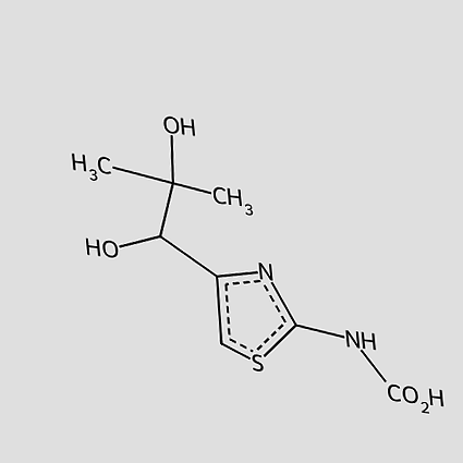 CC(C)(O)C(O)c1csc(NC(=O)O)n1